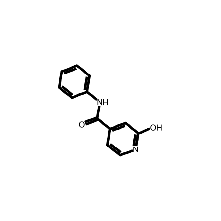 O=C(Nc1ccccc1)c1ccnc(O)c1